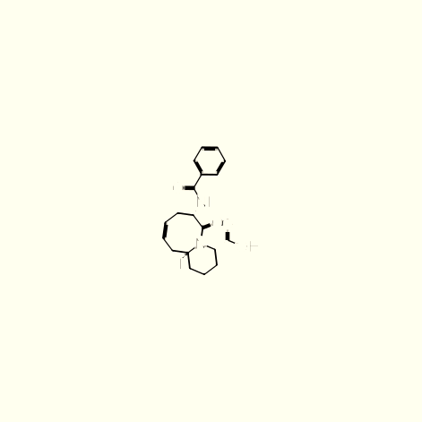 O=C(N[C@H]1C/C=C\C[C@H]2CCC[C@@H](C(=O)O)N2C1=O)c1ccccc1